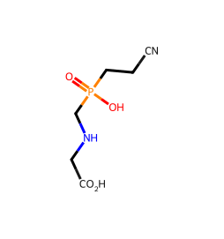 N#CCCP(=O)(O)CNCC(=O)O